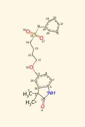 CC1(C)C(=O)Nc2ccc(OCCCCS(=O)(=O)Cc3ccccc3)cc21